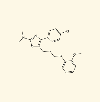 COc1ccccc1OCCCc1oc(N(C)C)nc1-c1ccc(Cl)cc1